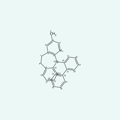 Cc1cnc2c(c1)CCc1cccnc1N2c1ccccc1-c1ccccc1